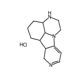 C1=NCC2C(=C1)N1CCNC3CCCC2C31.Cl